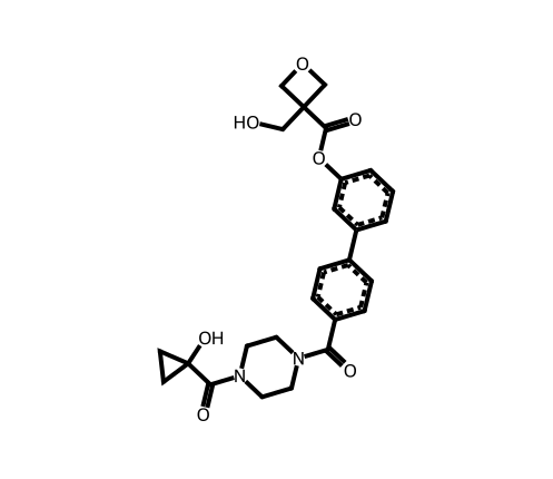 O=C(c1ccc(-c2cccc(OC(=O)C3(CO)COC3)c2)cc1)N1CCN(C(=O)C2(O)CC2)CC1